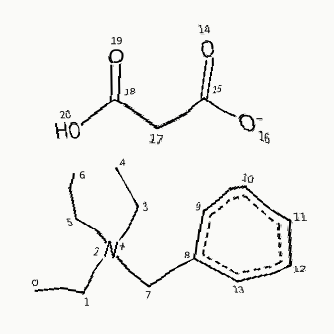 CC[N+](CC)(CC)Cc1ccccc1.O=C([O-])CC(=O)O